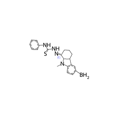 Bc1ccc2c(c1)C1CCC/C(=N\NC(=S)Nc3ccccc3)C1N2C